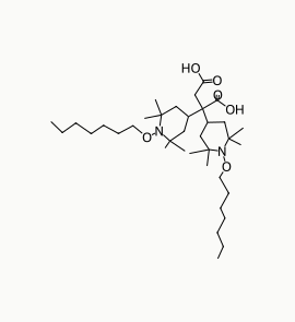 CCCCCCCON1C(C)(C)CC(C(CC(=O)O)(C(=O)O)C2CC(C)(C)N(OCCCCCCC)C(C)(C)C2)CC1(C)C